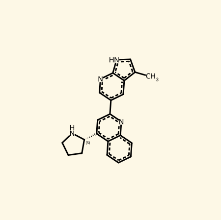 Cc1c[nH]c2ncc(-c3cc([C@@H]4CCCN4)c4ccccc4n3)cc12